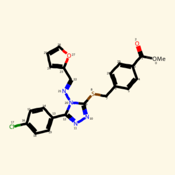 COC(=O)c1ccc(CSc2nnc(-c3ccc(Cl)cc3)n2N=Cc2ccco2)cc1